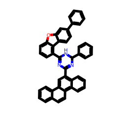 c1ccc(-c2ccc3c(c2)oc2cccc(C4=NC(c5cc6c7ccccc7ccc6c6ccccc56)=NC(c5ccccc5)N4)c23)cc1